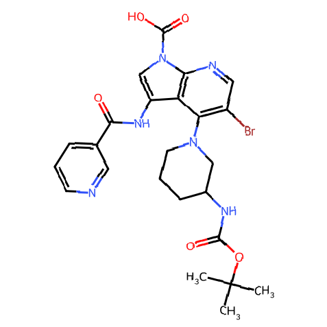 CC(C)(C)OC(=O)NC1CCCN(c2c(Br)cnc3c2c(NC(=O)c2cccnc2)cn3C(=O)O)C1